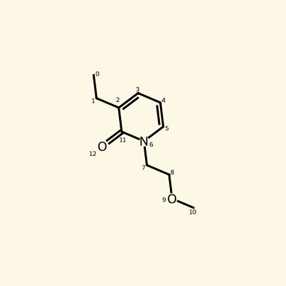 CCc1cccn(CCOC)c1=O